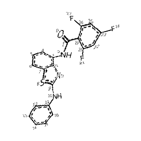 O=C(Nc1cccc2sc(Nc3ccccc3)nc12)c1c(F)cc(F)cc1F